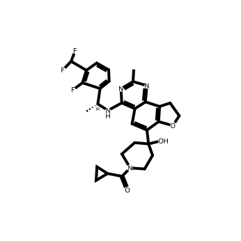 Cc1nc(N[C@H](C)c2cccc(C(F)F)c2F)c2cc(C3(O)CCN(C(=O)C4CC4)CC3)c3c(c2n1)CCO3